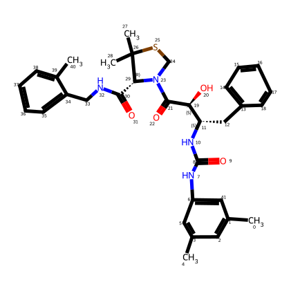 Cc1cc(C)cc(NC(=O)N[C@@H](Cc2ccccc2)[C@H](O)C(=O)N2CSC(C)(C)[C@H]2C(=O)NCc2ccccc2C)c1